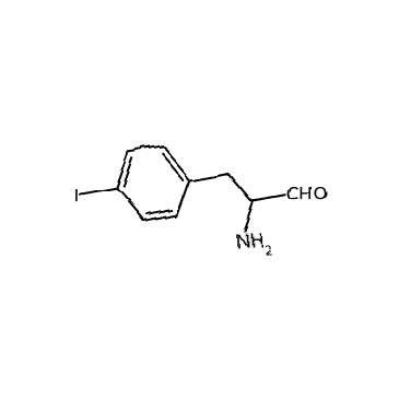 NC(C=O)Cc1ccc(I)cc1